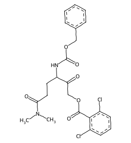 CN(C)C(=O)CCC(NC(=O)OCc1ccccc1)C(=O)COC(=O)c1c(Cl)cccc1Cl